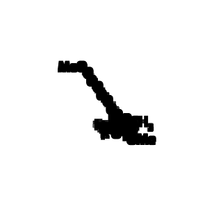 COCCOCCOCCOCCOCCOCCOCCOC(=O)Oc1c2n(cc(C(=O)NCc3ccc(F)cc3F)c1=O)[C@@H]1CN(C2=O)[C@@H](C)CC[C@]12CC(OC)=NO2